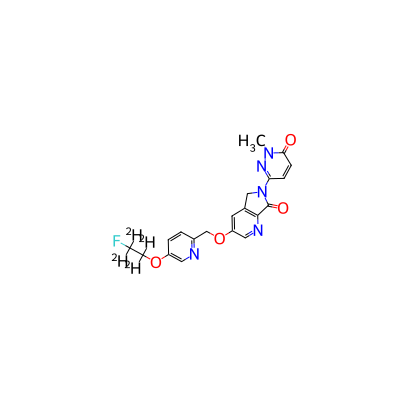 [2H]C([2H])(F)C([2H])([2H])Oc1ccc(COc2cnc3c(c2)CN(c2ccc(=O)n(C)n2)C3=O)nc1